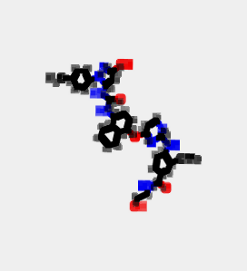 COc1cc(C(=O)NCCO)ccc1Nc1nccc(Oc2ccc(NC(=O)Nc3cc(O)nn3-c3ccc(C)cc3)c3ccccc23)n1